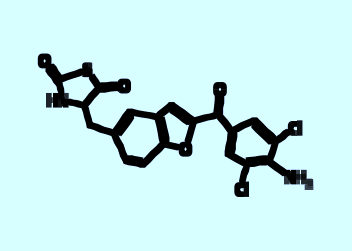 Nc1c(Cl)cc(C(=O)c2cc3cc(CC4NC(=O)SC4=O)ccc3o2)cc1Cl